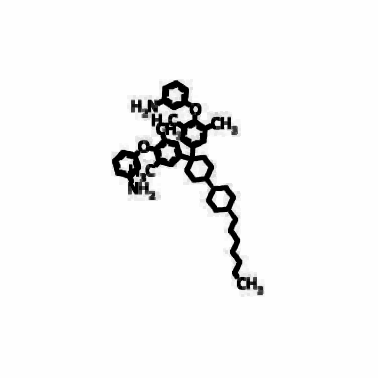 CCCCCCC[C@H]1CC[C@@H](C2CCC(c3cc(C)c(Oc4cccc(N)c4)c(C)c3)(c3cc(C)c(Oc4cccc(N)c4)c(C)c3)CC2)CC1